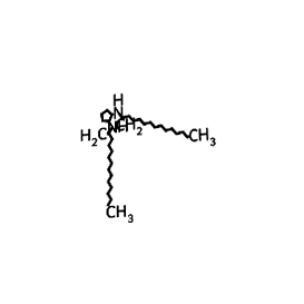 C=C(CCCCCCCCCCCCC)N[C@H]1CCC[C@H]1NC(=C)CCCCCCCCCCCCC